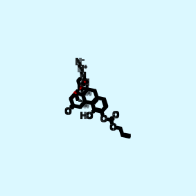 C=CCOC(=O)Oc1ccc2c(c1O)[C@]13CCN(CN=[N+]=[N-])[C@H](C2)[C@]1(N=O)CCC(=O)C3